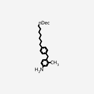 CCCCCCCCCCCCCCCCCc1ccc(Cc2ccc(N)cc2C)cc1